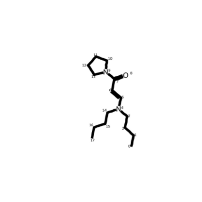 CCCCN(/C=C/C(=O)N1CCCC1)CCCC